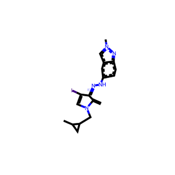 C=C1/C(=N\Nc2ccc3nn(C)cc3c2)C(I)=CN1CC1CC1C